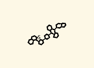 c1ccc2cc(-c3c4ccccc4c(-c4ccc(-c5cccc6c5sc5ccc7ccccc7c56)cc4)c4ccccc34)ccc2c1